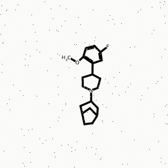 COc1ccc(F)cc1C1CCN(C2CC3CCC(C3)C2)CC1